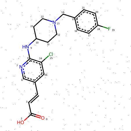 O=C(O)/C=C/c1cnc(NC2CCN(Cc3ccc(F)cc3)CC2)c(Cl)c1